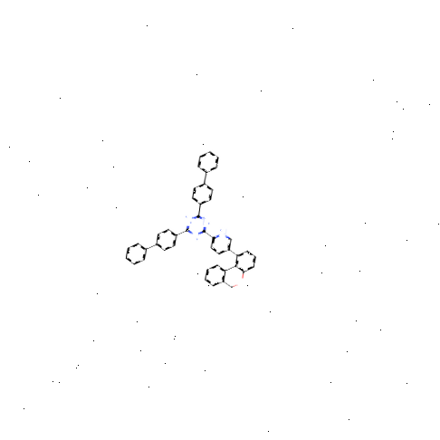 c1ccc(-c2ccc(-c3nc(-c4ccc(-c5ccccc5)cc4)nc(-c4ccc(-c5cccc6c5-c5ccccc5CO6)cn4)n3)cc2)cc1